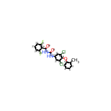 Cc1ccccc1Oc1c(Cl)cc(NC(=O)NC(=O)c2c(F)cccc2F)cc1Cl